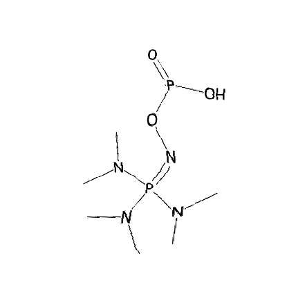 CN(C)P(=NO[P](=O)O)(N(C)C)N(C)C